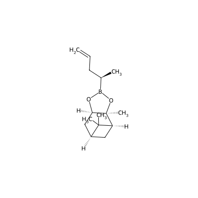 C=CC[C@@H](C)B1O[C@@H]2C[C@@H]3C[C@@H](C3(C)C)[C@]2(C)O1